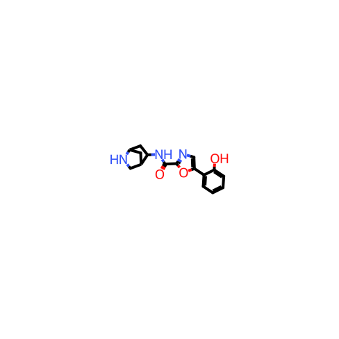 O=C(NC1CC2CC1CN2)c1ncc(-c2ccccc2O)o1